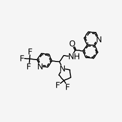 O=C(NCC(c1ccc(C(F)(F)F)nc1)N1CCC(F)(F)C1)c1cccc2ncccc12